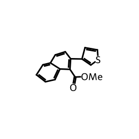 COC(=O)c1c(-c2ccsc2)ccc2ccccc12